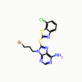 Nc1ncnc2c1nc(Sc1nc3cccc(Cl)c3s1)n2CCCBr